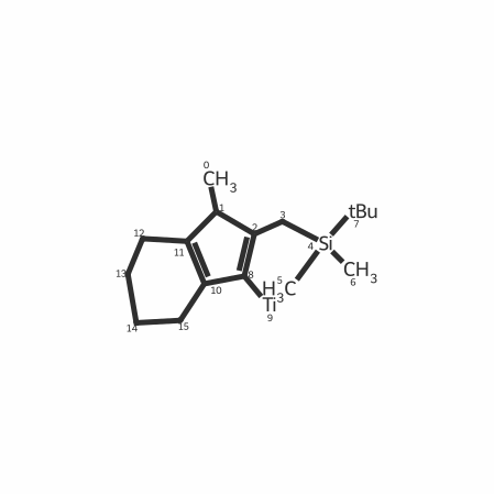 CC1C(C[Si](C)(C)C(C)(C)C)=[C]([Ti])C2=C1CCCC2